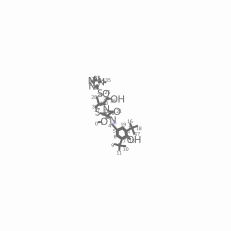 CO[C@]1(/N=C/c2cc(C(C)(C)C)c(O)c(C(C)(C)C)c2)C(=O)N2C(C(=O)O)=C(CSc3nnnn3C)CSC21